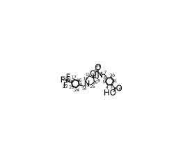 O=C(O)c1ccc(CN2CC3(CCN(Cc4ccc(C(F)(F)F)cc4)CC3)OC2=O)cc1